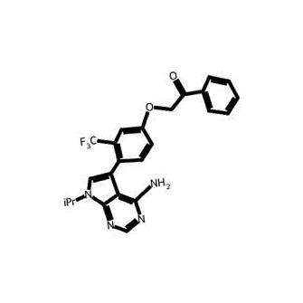 CC(C)n1cc(-c2ccc(OCC(=O)c3ccccc3)cc2C(F)(F)F)c2c(N)ncnc21